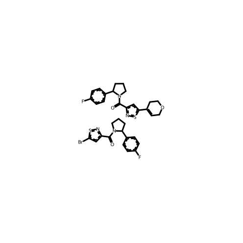 O=C(c1cc(Br)sn1)N1CCCC1c1ccc(F)cc1.O=C(c1cc(C2=CCOCC2)sn1)N1CCCC1c1ccc(F)cc1